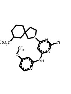 CCOC(=O)C1CCCC2(CCN(c3cc(Nc4cc(OC(F)(F)F)ccn4)nc(Cl)n3)C2)C1